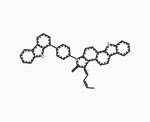 C=c1/c(=C\C=C/C)c2c3ccc4c5ccccc5sc4c3ccc2n1-c1ccc(-c2cccc3c2oc2ccccc23)cc1